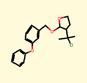 CC(C)(Cl)C1CCOC1OCc1cccc(Oc2ccccc2)c1